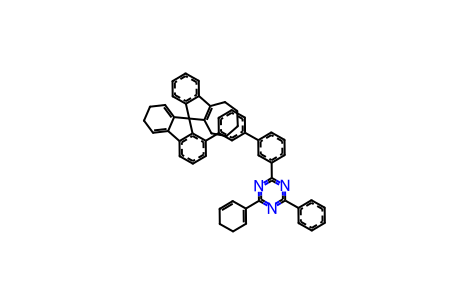 C1=CC(c2nc(-c3ccccc3)nc(-c3cccc(-c4cccc(-c5cccc6c5C5(C7=CCCC=C76)C6=C(CCCCC6)c6ccccc65)c4)c3)n2)=CCC1